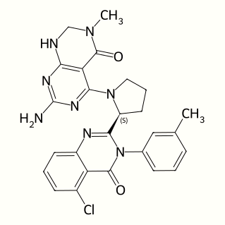 Cc1cccc(-n2c([C@@H]3CCCN3c3nc(N)nc4c3C(=O)N(C)CN4)nc3cccc(Cl)c3c2=O)c1